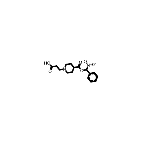 O=C(O)CCN1CCC(C(=O)OC(c2ccccc2)[N+](=O)[O-])CC1